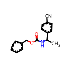 CC(NC(=O)OCc1ccccc1)c1ccc(C#N)cc1